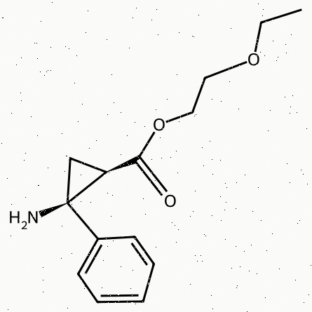 CCOCCOC(=O)[C@@H]1C[C@@]1(N)c1ccccc1